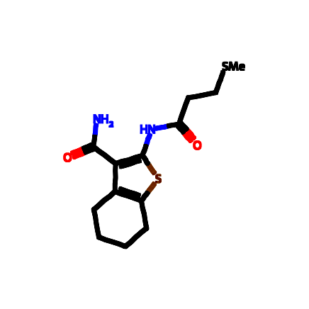 CSCCC(=O)Nc1sc2c(c1C(N)=O)CCCC2